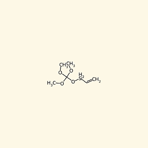 C=C[SiH2]OC(OC)(OC)OC